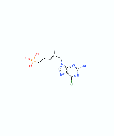 CC(=CCCP(=O)(O)O)Cn1cnc2c(Cl)nc(N)nc21